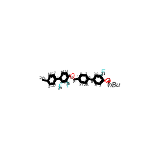 CCCCOc1ccc(-c2ccc(COc3ccc(-c4ccc(C)cc4)c(F)c3F)cc2)cc1F